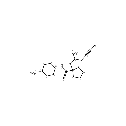 CC#CCC(CC1(C(=O)N[C@H]2CC[C@@H](C(=O)O)CC2)CCCC1)C(=O)O